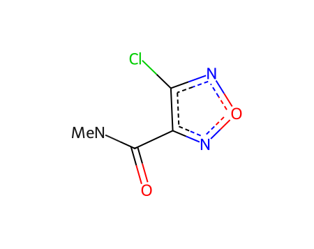 CNC(=O)c1nonc1Cl